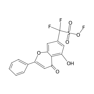 O=c1cc(-c2ccccc2)oc2cc(C(F)(F)S(=O)(=O)OF)cc(O)c12